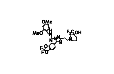 COc1ccc(CNc2nc3c4c(ccc3c3nc(CCN5CCCC(O)(C(F)(F)F)C5)nn23)OC(F)(F)O4)c(OC)c1